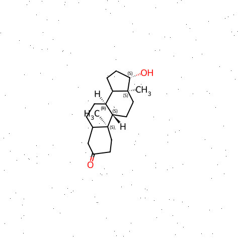 C[C@]12CC[C@H]3[C@@H](CCC4CC(=O)CC[C@@]43C)C1CC[C@@H]2O